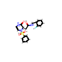 O=C(C[C@@H]1C(=O)NC=CN1S(=O)(=O)c1ccccc1)NCc1ccccc1F